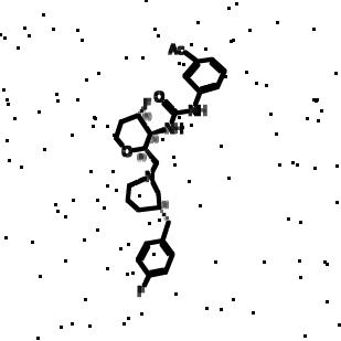 CC(=O)c1cccc(NC(=O)N[C@@H]2[C@@H](F)CCO[C@@H]2CN2CCC[C@@H](Cc3ccc(F)cc3)C2)c1